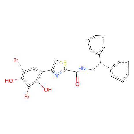 O=C(NCC(c1ccccc1)c1ccccc1)c1nc(-c2cc(Br)c(O)c(Br)c2O)cs1